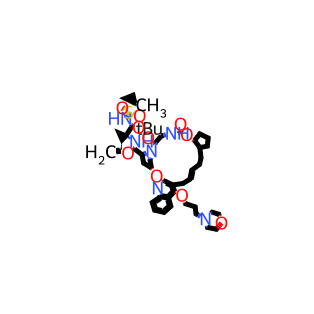 C=C[C@@H]1C[C@]1(NC(=O)C1CC2CN1C(=O)C(C(C)(C)C)NC(=O)OC1CCCC1CC/C=C/Cc1c(nc3ccccc3c1OCCCN1CCOCC1)O2)C(=O)NS(=O)(=O)C1(C)CC1